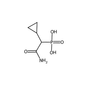 NC(=O)C(C1CC1)P(=O)(O)O